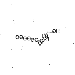 CCCC[C@@H](CC1=CC[C@@H]2[C@H](CC[C@]3(C)[C@@H]([C@H](C)CCCC(C)(C)O)CC[C@@H]23)C1)OC(=O)CCOCCOCCOCCOCCOCCOC